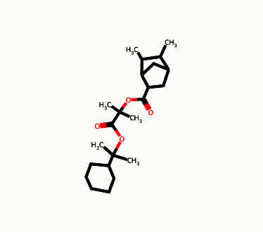 CC1C2CC(C(=O)OC(C)(C)C(=O)OC(C)(C)C3CCCCC3)C(C2)C1C